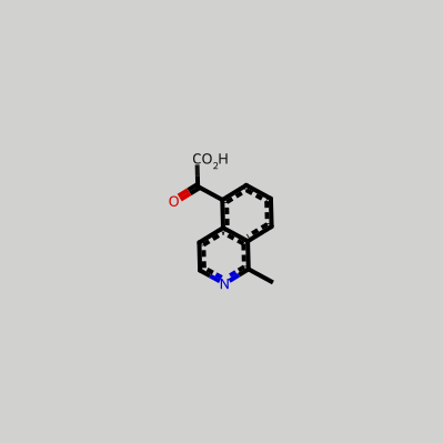 Cc1nccc2c(C(=O)C(=O)O)cccc12